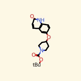 CC(C)(C)OC(=O)N1CCC(Oc2ccc3[nH]c(=O)ccc3c2)CC1